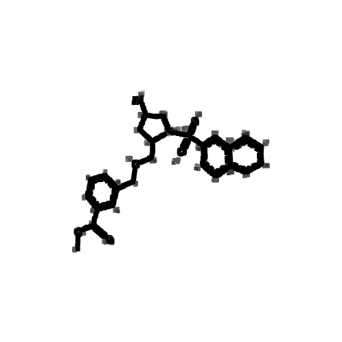 COC(=O)c1cccc(COCC2CC(S)CN2S(=O)(=O)c2ccc3ccccc3c2)c1